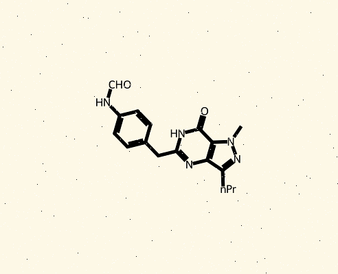 CCCc1nn(C)c2c(=O)[nH]c(Cc3ccc(NC=O)cc3)nc12